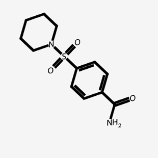 NC(=O)c1ccc(S(=O)(=O)N2CCCCC2)cc1